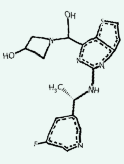 C[C@H](Nc1nc(C(O)N2CC(O)C2)c2sccc2n1)c1cncc(F)c1